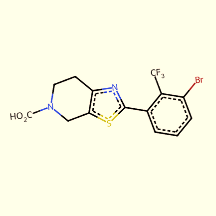 O=C(O)N1CCc2nc(-c3cccc(Br)c3C(F)(F)F)sc2C1